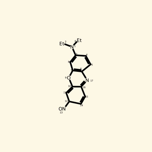 CCN(CC)c1ccc2c(c1)OC1=CC(N=O)C=CC1=N2